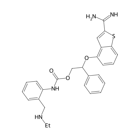 CCNCc1ccccc1NC(=O)OCC(Oc1cccc2sc(C(=N)N)cc12)c1ccccc1